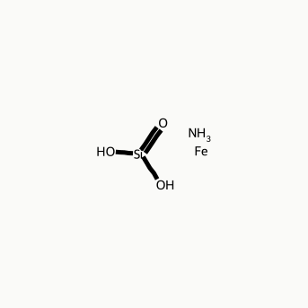 N.O=[Si](O)O.[Fe]